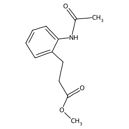 COC(=O)CCc1ccccc1NC(C)=O